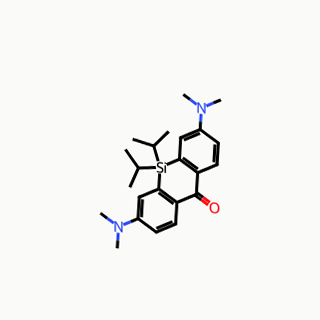 CC(C)[Si]1(C(C)C)c2cc(N(C)C)ccc2C(=O)c2ccc(N(C)C)cc21